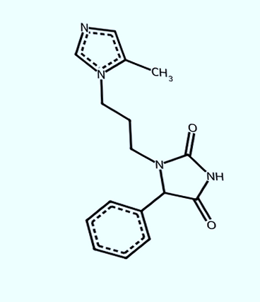 Cc1cncn1CCCN1C(=O)NC(=O)C1c1ccccc1